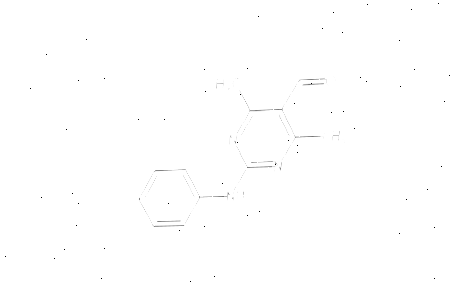 Cc1nc(Nc2ccccc2)nc(C)c1C=O